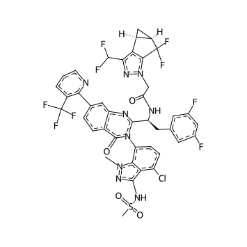 Cn1nc(NS(C)(=O)=O)c2c(Cl)ccc(-n3c([C@H](Cc4cc(F)cc(F)c4)NC(=O)Cn4nc(C(F)F)c5c4C(F)(F)[C@@H]4C[C@H]54)nc4cc(-c5ncccc5C(F)(F)F)ccc4c3=O)c21